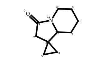 O=C1CC2(CC2)C2CCCCN12